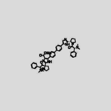 COC(=O)c1nc([C@]2(C(=O)[C@@H](c3ccccc3)N(C)C)CCCN2)[nH]c1-c1ccc(-c2ccc(-c3cnc([C@@H]4CCCN4C(=O)[C@@H](c4ccccc4)N(C)C)[nH]3)cc2)cc1